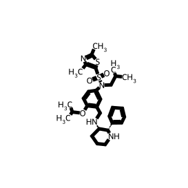 Cc1nc(C)c(S(=O)(=O)N(CC(C)C)c2ccc(OC(C)C)c(CN[C@H]3CCCN[C@H]3c3ccccc3)c2)s1